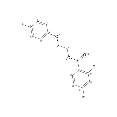 Cc1ccc(OCCOC(=O)c2ccc(C)cc2C)cc1